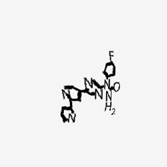 NC(=O)N(c1ccc(F)cc1)c1cnc(-c2ccnc(-c3cccnc3)c2)cn1